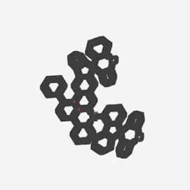 c1ccc(-c2ccc(-c3ccccc3N(c3ccc4cc5c(cc4c3)C3(c4ccccc4Oc4ccccc43)c3ccccc3-5)c3cccc4c3-c3ccccc3C43c4ccccc4Oc4ccccc43)cc2)cc1